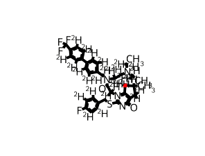 [2H]c1c([2H])c(CSc2nc(=O)c3c(n2C([2H])([2H])C(=O)N(C([2H])([2H])c2c([2H])c([2H])c(-c4c([2H])c([2H])c(C(F)(F)F)c([2H])c4[2H])c([2H])c2[2H])C([2H])([2H])C([2H])([2H])N(C([2H])([2H])C)C([2H])([2H])C)C([2H])([2H])C([2H])(C)C3([2H])[2H])c([2H])c([2H])c1F